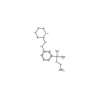 [2H]C(O)(CCN)c1cccc(SCC2CCCCC2)c1